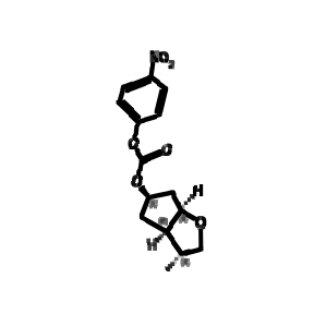 C[C@H]1CO[C@@H]2C[C@H](OC(=O)Oc3ccc([N+](=O)[O-])cc3)C[C@H]12